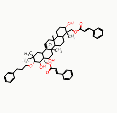 CC1(C)CC2C3=CCC45C[C@@]46CC[C@H](O)[C@](C)(COC(=O)/C=C/c4ccccc4)C6CC[C@@]5(C)[C@]3(C)C[C@@H](O)[C@@]2(COC(=O)/C=C/c2ccccc2)[C@@H](O)[C@@H]1OCCCc1ccccc1